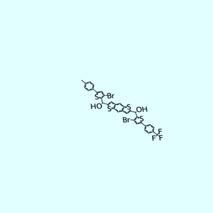 Cc1ccc(-c2cc(Br)c(C(O)c3cc4cc5sc(C(O)c6sc(-c7ccc(C(F)(F)F)cc7)cc6Br)cc5cc4s3)s2)cc1